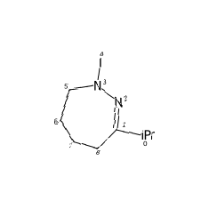 CC(C)C1=NN(I)CCCC1